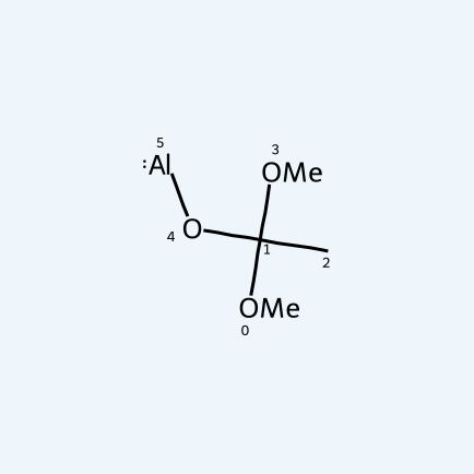 COC(C)(OC)[O][Al]